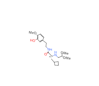 COc1ccc(CCNC(=O)[C@@H](CC2CCC2)NCC(OC)OC)cc1O